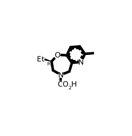 CC[C@@H]1CN(C(=O)O)Cc2nc(C)ccc2O1